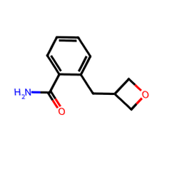 NC(=O)c1ccccc1CC1COC1